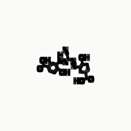 N#CC(N=Nc1cc(C(=O)O)ccc1O)=NNc1cc(C(=O)O)ccc1O